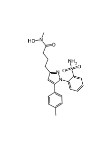 Cc1ccc(-c2cc(CCCC(=O)N(C)O)nn2-c2ccccc2S(N)(=O)=O)cc1